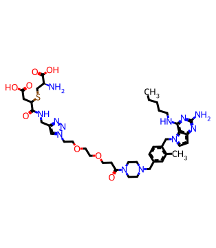 CCCCCNc1nc(N)nc2ccn(Cc3ccc(CN4CCN(C(=O)CCOCCOCCn5cc(CNC(=O)C(CC(=O)O)SC[C@H](N)C(=O)O)nn5)CC4)cc3C)c12